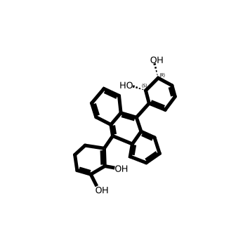 OC1=CCCC(c2c3ccccc3c(C3=CC=C[C@@H](O)[C@H]3O)c3ccccc23)=C1O